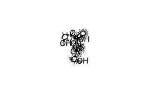 Cc1c(O)cccc1C(=O)N[C@@H](Cc1ccccc1)[C@H](O)C(=O)N1CSC2(C)[C@H]1C(=O)N2Cc1ccccc1O